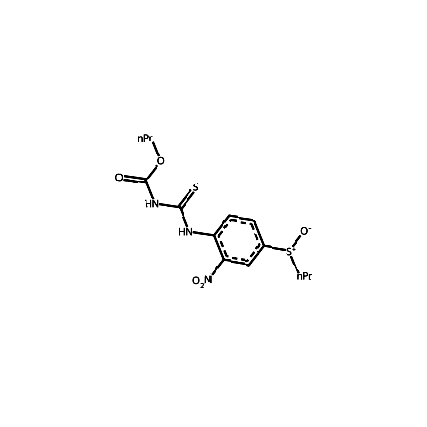 CCCOC(=O)NC(=S)Nc1ccc([S+]([O-])CCC)cc1[N+](=O)[O-]